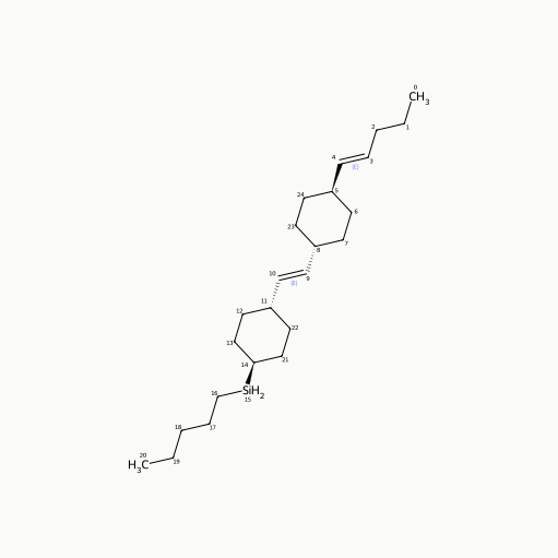 CCC/C=C/[C@H]1CC[C@H](/C=C/[C@H]2CC[C@H]([SiH2]CCCCC)CC2)CC1